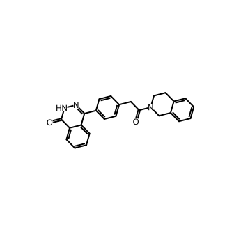 O=C(Cc1ccc(-c2n[nH]c(=O)c3ccccc23)cc1)N1CCc2ccccc2C1